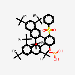 CC(C)C(C)(C)c1cc(C(C)(C)C(C)C)c2cc(-c3c(OP(O)O)ccc(S(=O)(=O)c4ccccc4)c3-c3cc4c(C(C)(C)C(C)C)cc(C(C)(C)C(C)C)cc4cc3C(C)(C)C(C)C)c(C(C)(C)C(C)C)cc2c1